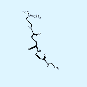 CCNC(=O)/C=C\NC(=O)CCC(=O)NCCN(C)C